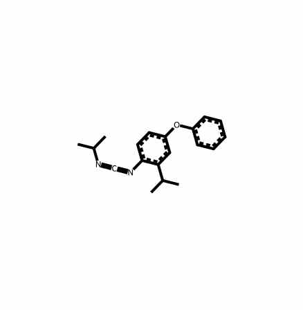 CC(C)N=C=Nc1ccc(Oc2ccccc2)cc1C(C)C